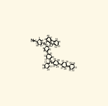 N#Cc1ccc(N(c2ccc(-c3ccc(N(c4ccccc4)c4ccc(-c5ccc(-c6ccccc6)cc5)cc4)cc3)cc2)c2cccc3c2oc2ccccc23)cc1